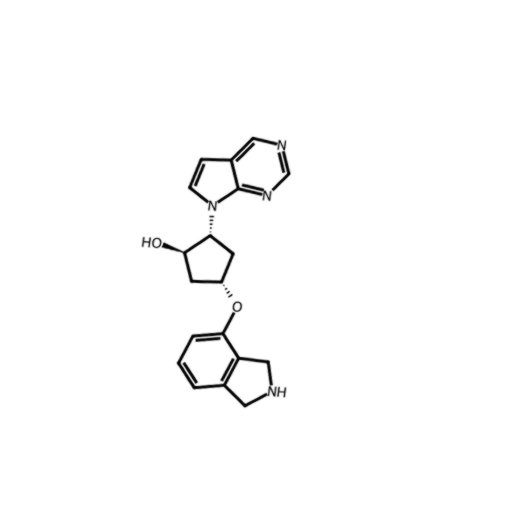 O[C@@H]1C[C@@H](Oc2cccc3c2CNC3)C[C@H]1n1ccc2cncnc21